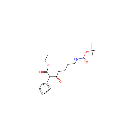 CCOC(=O)C(C(=O)CCCCNC(=O)OC(C)(C)C)c1ccccc1